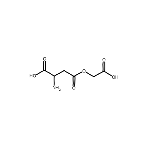 NC(CC(=O)OCC(=O)O)C(=O)O